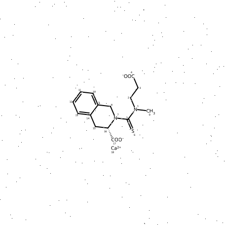 CN(CCC(=O)[O-])C(=S)N1Cc2ccccc2C[C@H]1C(=O)[O-].[Ca+2]